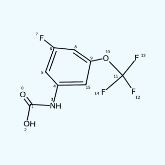 O=C(O)Nc1cc(F)cc(OC(F)(F)F)c1